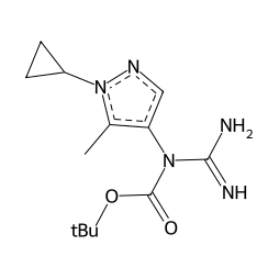 Cc1c(N(C(=N)N)C(=O)OC(C)(C)C)cnn1C1CC1